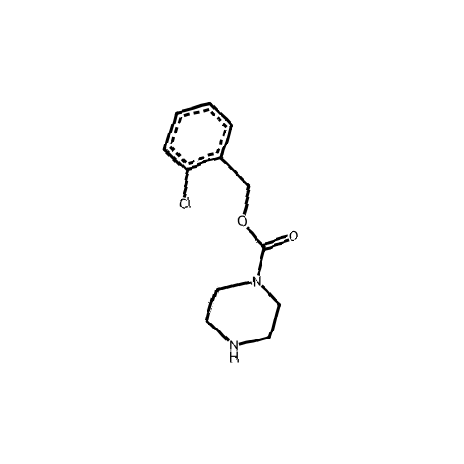 O=C(OCc1ccccc1Cl)N1CCNCC1